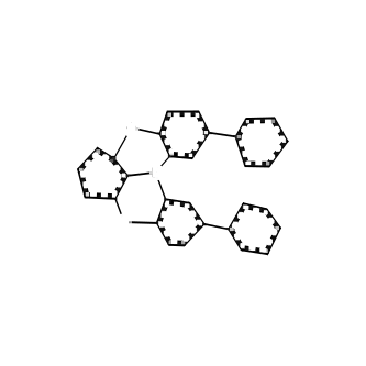 c1ccc(-c2ccc3c(c2)B2c4cc(-c5ccccc5)ccc4Oc4cccc(c42)O3)cc1